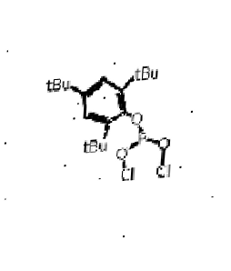 CC(C)(C)c1cc(C(C)(C)C)c(OP(OCl)OCl)c(C(C)(C)C)c1